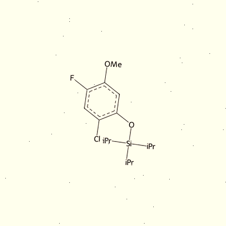 COc1cc(O[Si](C(C)C)(C(C)C)C(C)C)c(Cl)cc1F